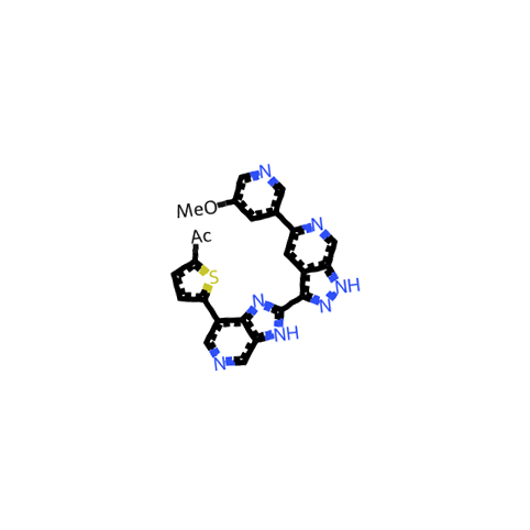 COc1cncc(-c2cc3c(-c4nc5c(-c6ccc(C(C)=O)s6)cncc5[nH]4)n[nH]c3cn2)c1